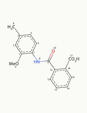 COc1cc(C)ccc1NC(=O)c1ccccc1C(=O)O